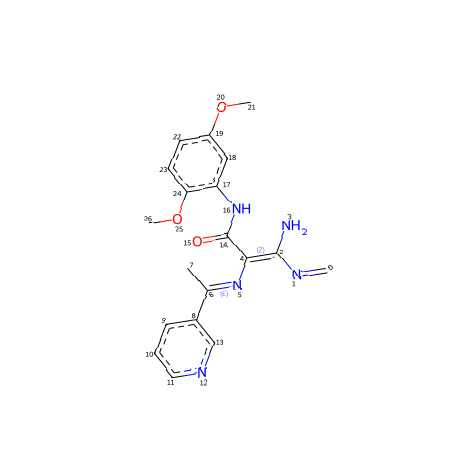 C=N/C(N)=C(\N=C(/C)c1cccnc1)C(=O)Nc1cc(OC)ccc1OC